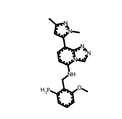 COc1cccc(P)c1CNc1ccc(-c2cc(C)nn2C)c2nncn12